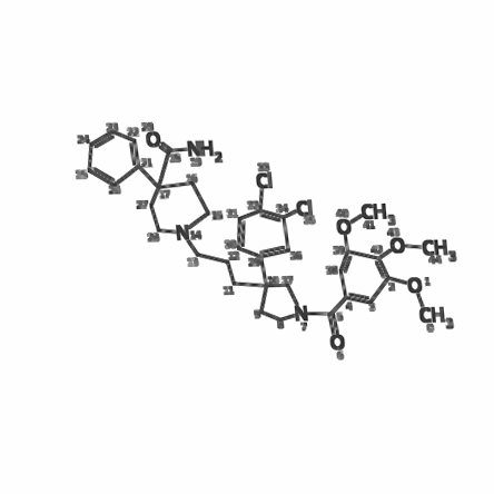 COc1cc(C(=O)N2CCC(CCCN3CCC(C(N)=O)(c4ccccc4)CC3)(c3ccc(Cl)c(Cl)c3)C2)cc(OC)c1OC